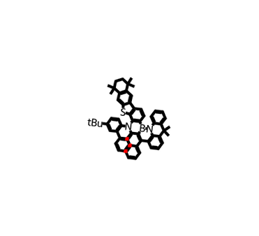 CC(C)(C)c1ccc(N2c3cc4ccccc4c4c3B(c3ccc5c(sc6cc7c(cc65)C(C)(C)CCC7(C)C)c32)N2c3ccccc3C(C)(C)c3cccc-4c32)c(-c2ccccc2)c1